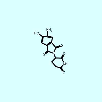 Nc1cc2c(cc1O)C(=O)N(C1CCC(=O)NC1=O)C2=O